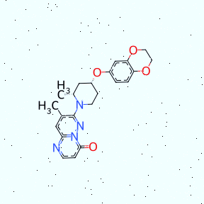 Cc1cc2nccc(=O)n2nc1N1CC[C@@H](Oc2ccc3c(c2)OCCO3)C[C@H]1C